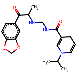 CC(NCNC(=O)C1=CN(C(C)C)C=CC1)C(=O)c1ccc2c(c1)OCO2